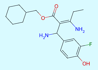 CC/C(N)=C(\C(=O)OCC1CCCCC1)C(N)c1ccc(O)c(F)c1